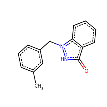 Cc1cccc(Cn2[nH]c(=O)c3ccccc32)c1